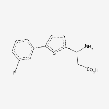 NC(CC(=O)O)c1ccc(-c2cccc(F)c2)s1